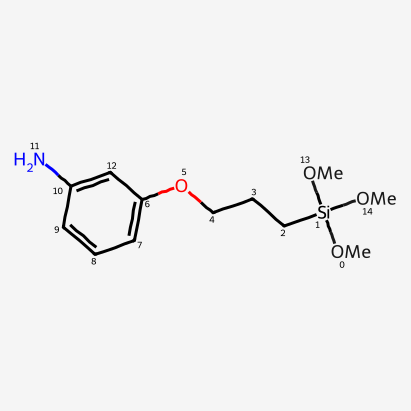 CO[Si](CCCOc1cccc(N)c1)(OC)OC